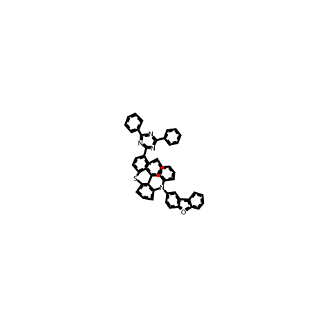 c1ccc(-c2nc(-c3ccccc3)nc(-c3ccc4c5c(cccc35)-c3c(cccc3N(c3ccccc3)c3ccc5oc6ccccc6c5c3)S4)n2)cc1